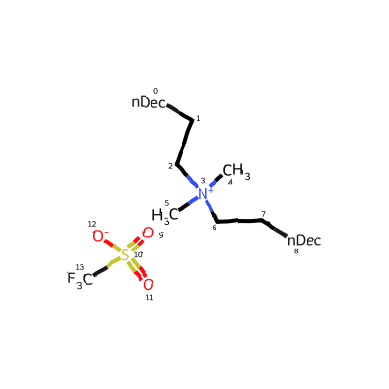 CCCCCCCCCCCC[N+](C)(C)CCCCCCCCCCCC.O=S(=O)([O-])C(F)(F)F